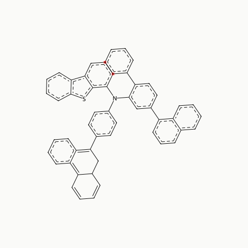 C1=CC2=c3ccccc3=C(c3ccc(N(c4cc(-c5cccc6ccccc56)ccc4-c4ccccc4)c4cccc5c4sc4ccccc45)cc3)CC2C=C1